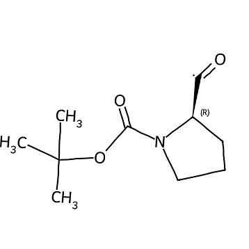 CC(C)(C)OC(=O)N1CCC[C@@H]1[C]=O